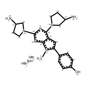 Br.Br.Br.Cn1c(-c2ccc(O)cc2)cc2c(N3CCC(N)C3)nc(N3CCC(N)C3)nc21